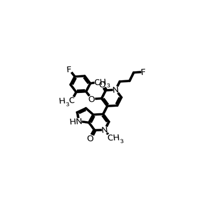 Cc1cc(F)cc(C)c1Oc1c(-c2cn(C)c(=O)c3[nH]ccc23)ccn(CCCF)c1=O